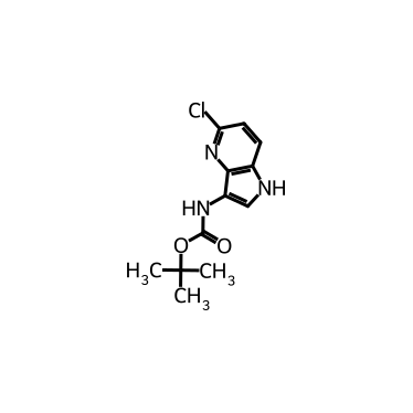 CC(C)(C)OC(=O)Nc1c[nH]c2ccc(Cl)nc12